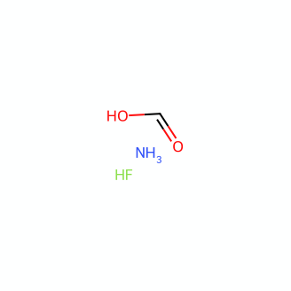 F.N.O=CO